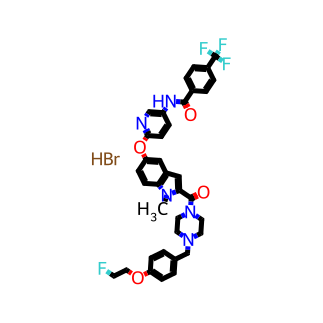 Br.Cn1c(C(=O)N2CCN(Cc3ccc(OCCF)cc3)CC2)cc2cc(Oc3ccc(NC(=O)c4ccc(C(F)(F)F)cc4)cn3)ccc21